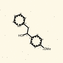 COc1ccc(C(O)Cc2ccccn2)cc1